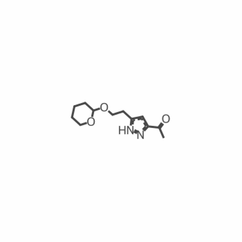 CC(=O)c1cc(CCOC2CCCCO2)[nH]n1